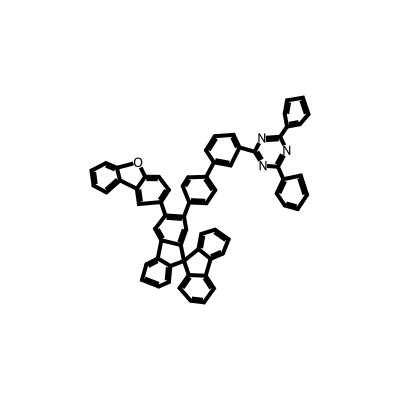 c1ccc(-c2nc(-c3ccccc3)nc(-c3cccc(-c4ccc(-c5cc6c(cc5-c5ccc7oc8ccccc8c7c5)-c5ccccc5C65c6ccccc6-c6ccccc65)cc4)c3)n2)cc1